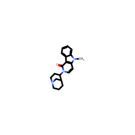 Cn1c2ccccc2c2c(=O)n(C3CCN4CCCC3C4)ccc21